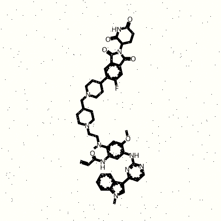 C=CC(=O)Nc1cc(Nc2nccc(-c3cn(C)c4ccccc34)n2)c(OC)cc1N(C)CCN1CCC(CN2CCC(c3cc4c(cc3F)C(=O)N(C3CCC(=O)NC3=O)C4=O)CC2)CC1